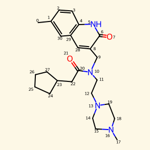 Cc1ccc2[nH]c(=O)c(CN(CCN3CCN(C)CC3)C(=O)CC3CCCC3)cc2c1